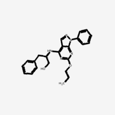 CCCOc1nc(NC(CO)Cc2ccccc2)c2cnn(-c3ccccc3)c2n1